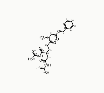 CN(CC(=O)OCc1ccccc1)C(=O)CCC(CC(=O)NC(=S)S)C(=O)NC(=S)S